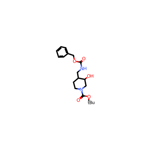 CC(C)(C)OC(=O)N1CCC(CNC(=O)OCc2ccccc2)C(O)C1